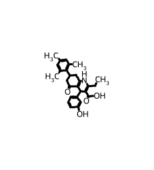 CCC1=C(C(=O)O)C(c2cccc(O)c2)C2=C(CC(c3c(C)cc(C)cc3C)CC2=O)N1